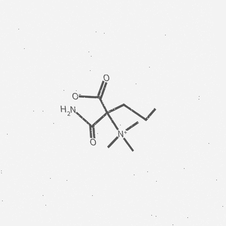 CCCC(C(N)=O)(C(=O)[O-])[N+](C)(C)C